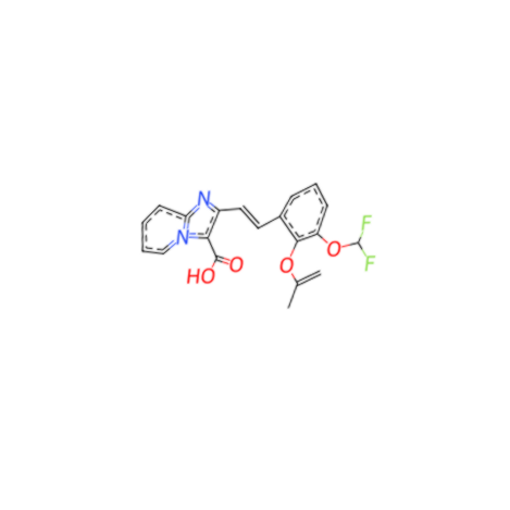 C=C(C)Oc1c(/C=C/c2nc3ccccn3c2C(=O)O)cccc1OC(F)F